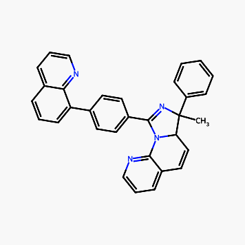 CC1(c2ccccc2)N=C(c2ccc(-c3cccc4cccnc34)cc2)N2c3ncccc3C=CC21